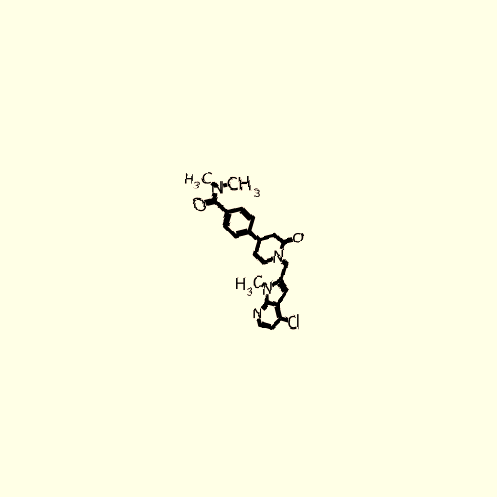 CN(C)C(=O)c1ccc(C2CCN(Cc3cc4c(Cl)ccnc4n3C)C(=O)C2)cc1